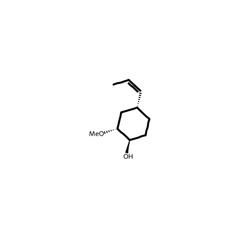 C/C=C\[C@@H]1CC[C@@H](O)[C@H](OC)C1